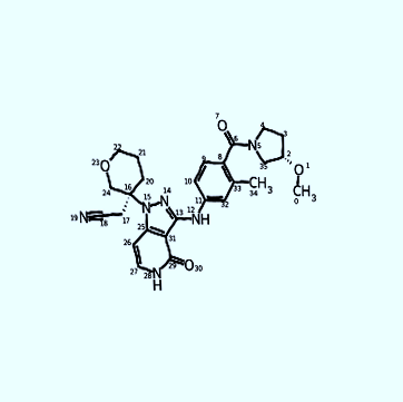 CO[C@H]1CCN(C(=O)c2ccc(Nc3nn([C@]4(CC#N)CCCOC4)c4cc[nH]c(=O)c34)cc2C)C1